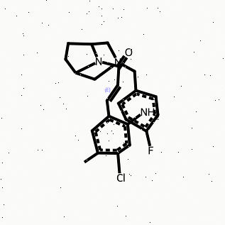 Cc1cc(/C=C/C(=O)N2C3CCC2CN(Cc2ccc(F)cc2)C3)c(N)cc1Cl